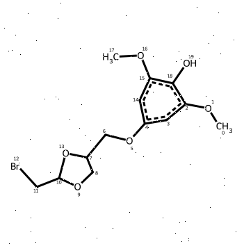 COc1cc(OCC2COC(CBr)O2)cc(OC)c1O